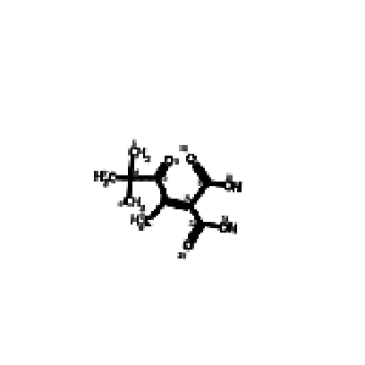 CC(C(=O)C(C)(C)C)=C(C(=O)O)C(=O)O